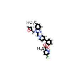 C[C@]1(c2ccc(Cl)cn2)Oc2cccc(-c3cc[n+](Cc4nc5ccc(C(=O)O)cc5n4C[C@@H]4CCO4)cc3)c2O1